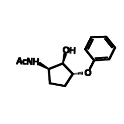 CC(=O)N[C@@H]1CC[C@@H](Oc2ccccc2)[C@@H]1O